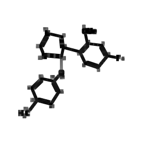 COc1cc(F)ccc1-c1cncnc1Oc1ccc(C)cc1